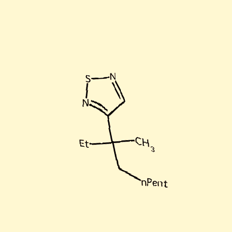 CCCCCCC(C)(CC)c1cnsn1